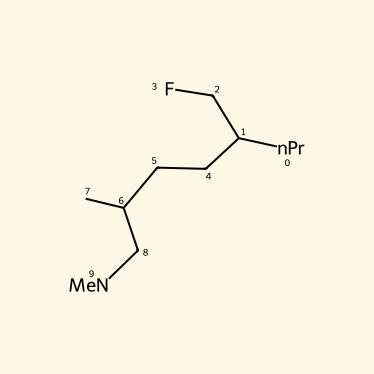 CCCC(CF)CCC(C)CNC